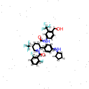 O=C(Nc1ccc(CO)c(C(F)(F)F)c1)[C@H]1C[C@@H](C(F)(F)F)CN(C(=O)c2c(F)cccc2F)C1c1ccc(NC2CCCC2)cc1